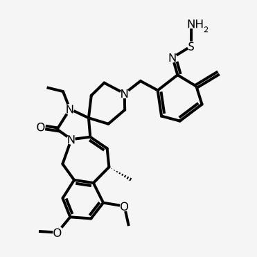 C=C1C=CC=C(CN2CCC3(CC2)C2=C[C@H](C)c4c(cc(OC)cc4OC)CN2C(=O)N3CC)/C1=N/SN